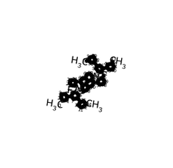 Cc1cccc(-c2cc(-c3cccc(C)c3)cc(N(c3ccccc3F)c3ccc4ccc5c(N(c6cc(-c7cccc(C)c7)cc(-c7cccc(C)c7)c6)c6ccccc6F)ccc6ccc3c4c65)c2)c1